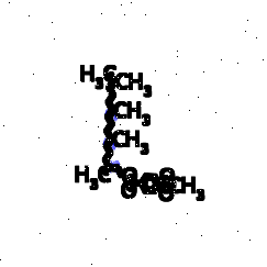 CC(C)=CCC/C(C)=C/CC/C(C)=C/CC/C(C)=C/COC(=O)c1ccc(S(C)(=O)=O)cc1